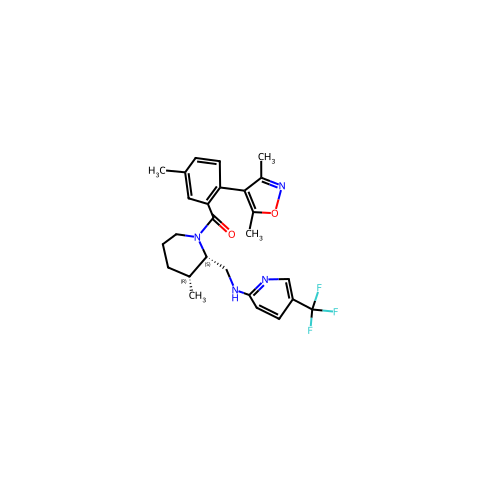 Cc1ccc(-c2c(C)noc2C)c(C(=O)N2CCC[C@@H](C)[C@H]2CNc2ccc(C(F)(F)F)cn2)c1